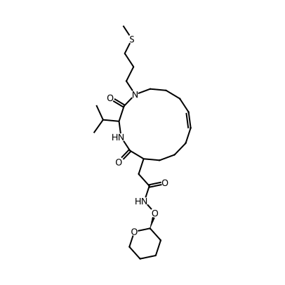 CSCCCN1CCCC=CCCCC(CC(=O)NO[C@H]2CCCCO2)C(=O)NC(C(C)C)C1=O